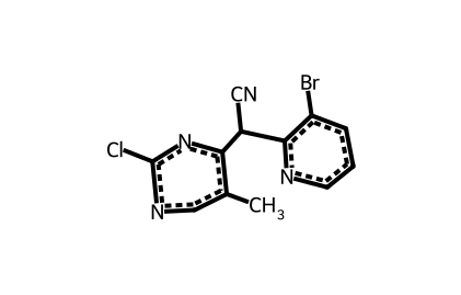 Cc1cnc(Cl)nc1C(C#N)c1ncccc1Br